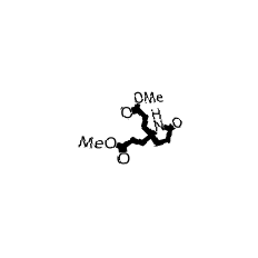 COC(=O)CCC1(CCC(=O)OC)CCC(=O)N1